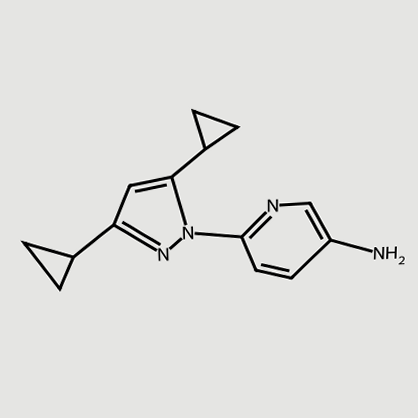 Nc1ccc(-n2nc(C3CC3)cc2C2CC2)nc1